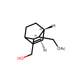 CC(=O)OC[C@H]1C(CO)C2C=C[C@H]1CC2